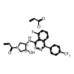 C=CC(=O)Cl.C=CC(=O)N1C[C@H](O)[C@H](Nc2nnc(-c3ccc(C(F)(F)F)cc3)c3cccc(F)c23)C1